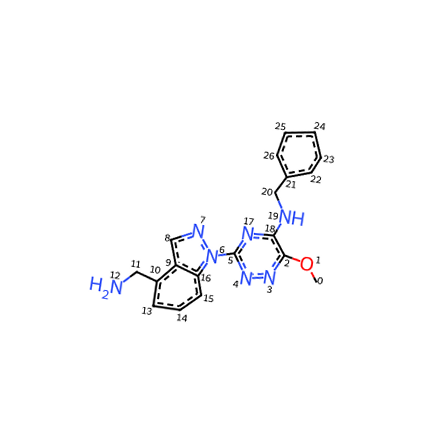 COc1nnc(-n2ncc3c(CN)cccc32)nc1NCc1ccccc1